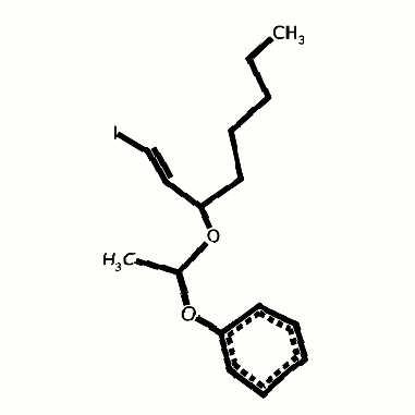 CCCCCC(C=CI)OC(C)Oc1ccccc1